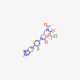 CC(=O)N(CC1CN(c2ccc(N3Cc4cn(C)nc4C3)c(F)c2)C(=O)O1)C(=O)OC(C)Cl